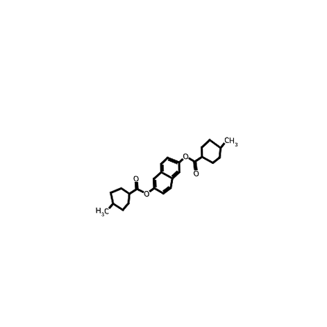 CC1CCC(C(=O)Oc2ccc3cc(OC(=O)C4CCC(C)CC4)ccc3c2)CC1